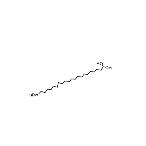 CCCCCCCCCCCCCCCCCCCCCCCCCCCCCCC(O)O